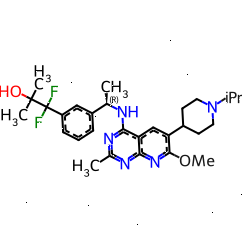 COc1nc2nc(C)nc(N[C@H](C)c3cccc(C(F)(F)C(C)(C)O)c3)c2cc1C1CCN(C(C)C)CC1